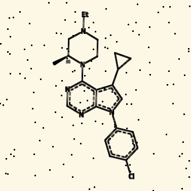 CCN1CCN(c2ncnc3c2c(C2CC2)cn3-c2ccc(Cl)cc2)[C@@H](C)C1